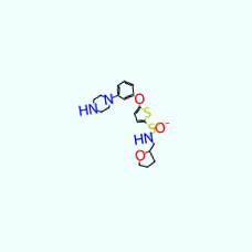 [O-][S+](NCC1CCCO1)c1ccc(Oc2cccc(N3CCNCC3)c2)s1